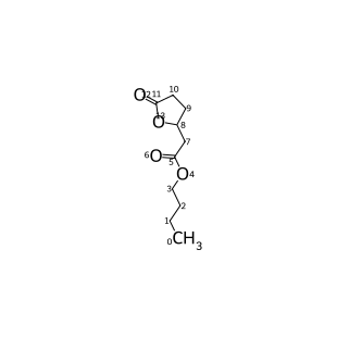 CCCCOC(=O)CC1CCC(=O)O1